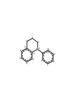 [c]1ccc(N2CCCc3ccccc32)cc1